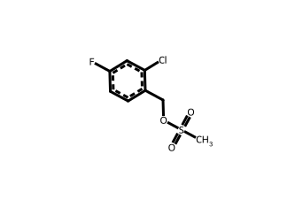 CS(=O)(=O)OCc1ccc(F)cc1Cl